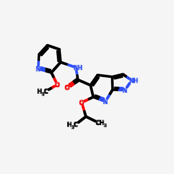 COc1ncccc1NC(=O)c1cc2c[nH]nc2nc1OC(C)C